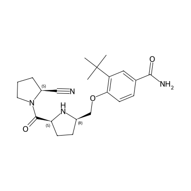 CC(C)(C)c1cc(C(N)=O)ccc1OC[C@H]1CC[C@@H](C(=O)N2CCC[C@H]2C#N)N1